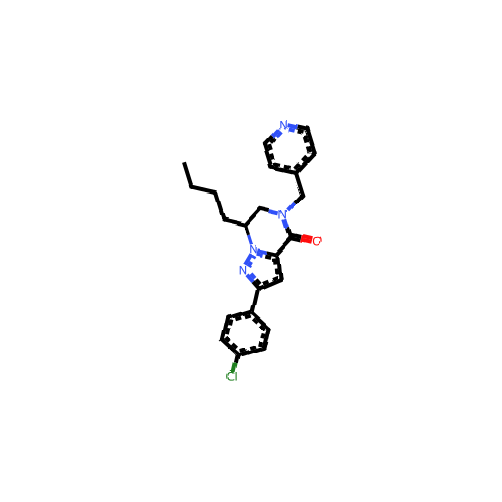 CCCCC1CN(Cc2ccncc2)C(=O)c2cc(-c3ccc(Cl)cc3)nn21